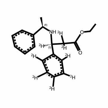 [2H]c1c([2H])c([2H])c([C@@]([2H])(N[C@H](C)c2ccccc2)C([2H])([2H])C(=O)OCC)c([2H])c1[2H]